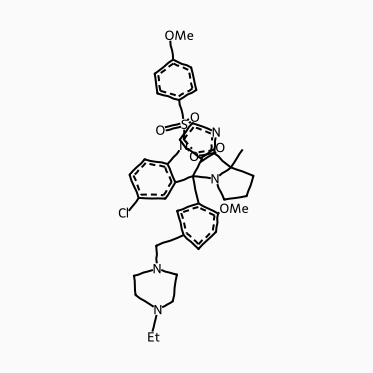 CCN1CCN(Cc2ccc(OC)c(C3(N4CCCC4(C)c4ncco4)C(=O)N(S(=O)(=O)c4ccc(OC)cc4)c4ccc(Cl)cc43)c2)CC1